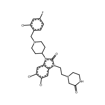 O=C1CN(CCn2c(=O)n(C3CCN(Cc4ccc(F)cc4Cl)CC3)c3cc(Cl)c(Cl)cc32)CCN1